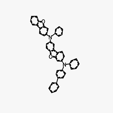 c1ccc(-c2ccc(N(c3ccccc3)c3ccc4c(c3)oc3ccc(N(c5ccccc5)c5ccc6c(c5)oc5ccccc56)cc34)cc2)cc1